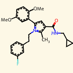 COc1ccc(OC)c(-c2cc(C(=O)NCC3CC3)c(C)n2CCc2cccc(F)c2)c1